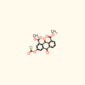 COC(=O)c1cccc2c1C(=O)c1c(C(=O)OC)cc(OC(=O)Cl)cc1C2=O